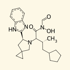 C[C@H](CC1CCCC1)C(C(=O)N(O)C=O)N1CC2(CC2)C[C@H]1c1nc2ccccc2[nH]1